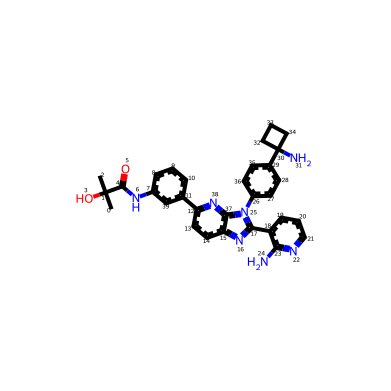 CC(C)(O)C(=O)Nc1cccc(-c2ccc3nc(-c4cccnc4N)n(-c4ccc(C5(N)CCC5)cc4)c3n2)c1